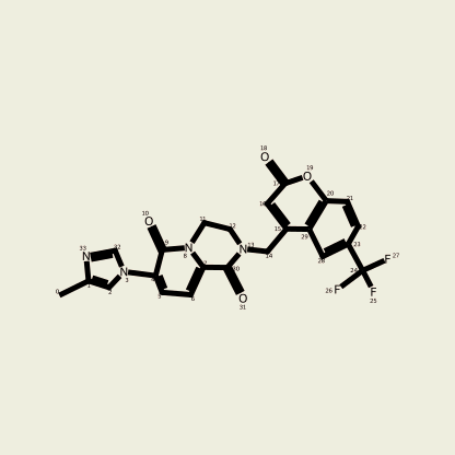 Cc1cn(-c2ccc3n(c2=O)CCN(Cc2cc(=O)oc4ccc(C(F)(F)F)cc24)C3=O)cn1